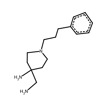 NCC1(N)CCN(CCCc2ccccc2)CC1